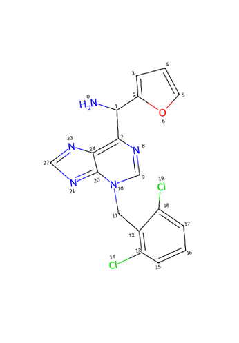 NC(c1ccco1)c1ncn(Cc2c(Cl)cccc2Cl)c2ncnc1-2